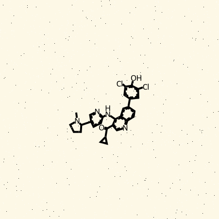 CN1CCCC1c1ccc(Nc2c(C(=O)C3CC3)cnc3ccc(-c4cc(Cl)c(O)c(Cl)c4)cc23)nc1